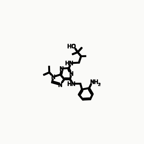 CC(C)n1cnc2c(NCc3ccccc3N)nc(NCC(C)C(C)(C)O)nc21